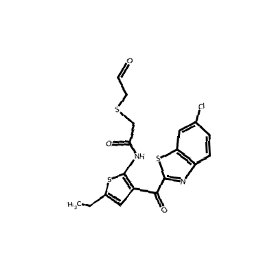 CCc1cc(C(=O)c2nc3ccc(Cl)cc3s2)c(NC(=O)CSCC=O)s1